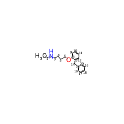 CCNCCCCOc1ccccc1Cc1ccccc1